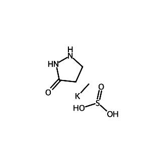 O=C1CCNN1.O=S(O)O.[CH3][K]